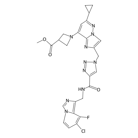 COC(=O)C1CN(c2cc(C3CC3)nn3cc(Cn4cc(C(=O)NCc5ncn6ccc(Cl)c(F)c56)nn4)nc23)C1